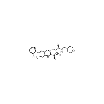 Cc1cccnc1-c1ccc2nc(N)c(CC(C)C(=O)NCC3CCOCC3)cc2c1